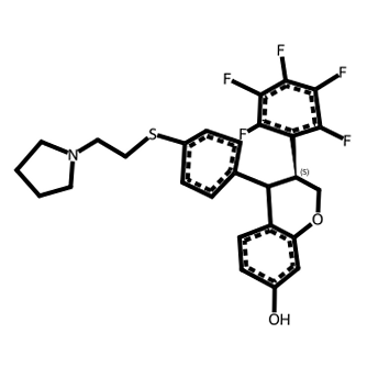 Oc1ccc2c(c1)OC[C@H](c1c(F)c(F)c(F)c(F)c1F)C2c1ccc(SCCN2CCCC2)cc1